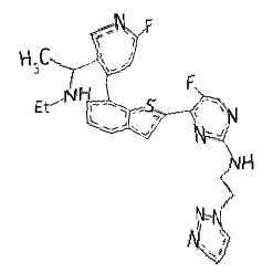 CCNC(C)c1cnc(F)cc1-c1cccc2cc(-c3nc(NCCn4ccnn4)ncc3F)sc12